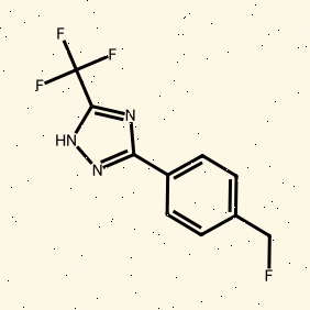 FCc1ccc(-c2n[nH]c(C(F)(F)F)n2)cc1